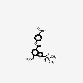 COc1ccc(C(=O)Oc2ccc([N+](=O)[O-])cc2)c2cc(S(=O)(=O)N(C)C)oc12